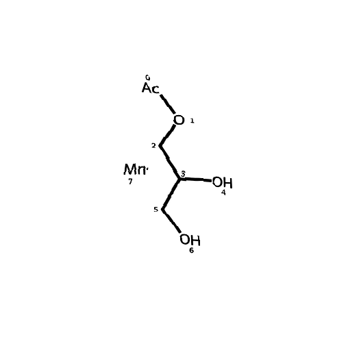 CC(=O)OCC(O)CO.[Mn]